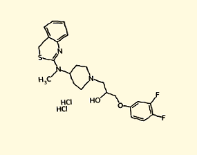 CN(C1=Nc2ccccc2CS1)C1CCN(CC(O)COc2ccc(F)c(F)c2)CC1.Cl.Cl